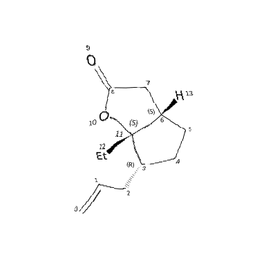 C=CC[C@H]1CC[C@H]2CC(=O)O[C@@]12CC